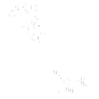 Cc1c(OCCCCCCCCCN2CCN(c3ccc4c(C5CCC(=O)NC5=O)nn(C)c4c3)CC2)cccc1-c1ccc(N2CCc3cccc(C(=O)Nc4nc5ccccc5s4)c3C2)nc1C(=O)O